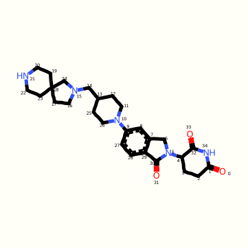 O=C1CCC(N2Cc3cc(N4CCC(CN5CCC6(CCNCC6)C5)CC4)ccc3C2=O)C(=O)N1